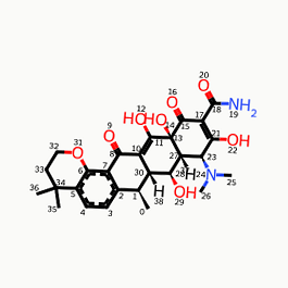 C[C@H]1c2ccc3c(c2C(=O)C2=C(O)[C@]4(O)C(=O)C(C(N)=O)=C(O)[C@@H](N(C)C)[C@@H]4[C@@H](O)[C@@H]21)OCCC3(C)C